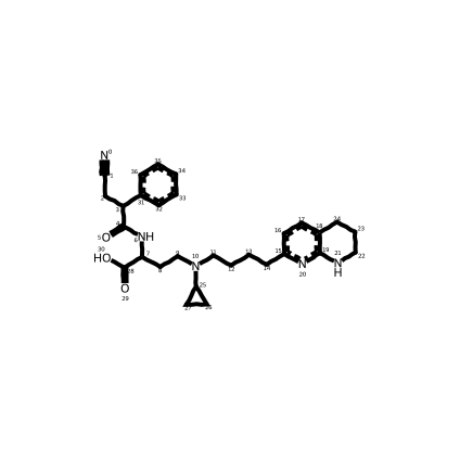 N#CCC(C(=O)NC(CCN(CCCCc1ccc2c(n1)NCCC2)C1CC1)C(=O)O)c1ccccc1